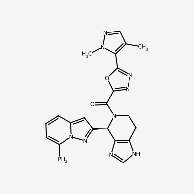 Cc1cnn(C)c1-c1nnc(C(=O)N2CCc3[nH]cnc3[C@H]2c2cc3cccc(P)n3n2)o1